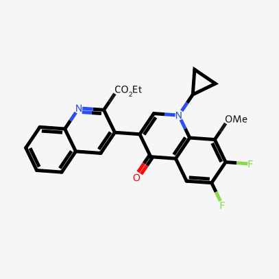 CCOC(=O)c1nc2ccccc2cc1-c1cn(C2CC2)c2c(OC)c(F)c(F)cc2c1=O